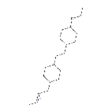 C/C=C/CC1CCC(CCC2CCC(OCC)CC2)CC1